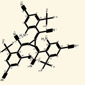 N#CC(=C1C(=C(/C#N)c2c(N)cc(C#N)cc2C(F)(F)F)/C1=C(/C#N)c1c(N)cc(C#N)cc1C(F)(F)F)c1c(C#N)cc(C#N)cc1C(F)(F)F